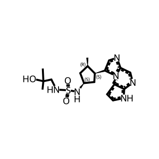 C[C@@H]1C[C@H](NS(=O)(=O)NCC(C)(C)O)C[C@@H]1c1cnc2cnc3[nH]ccc3n12